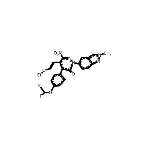 CCO/C=C/c1c([N+](=O)[O-])nn(-c2ccc3nn(C)cc3c2)c(=O)c1-c1ccc(OC(F)F)cc1